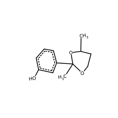 CC1CCOC(C)(c2cccc(O)c2)O1